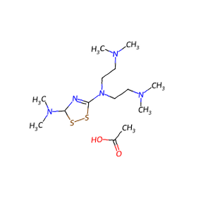 CC(=O)O.CN(C)CCN(CCN(C)C)C1=NC(N(C)C)SS1